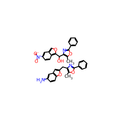 Cc1oc(-c2ccccc2)nc1C(O)c1occ2cc([N+](=O)[O-])ccc12.Cc1oc(-c2ccccc2)nc1Cc1cc2cc(N)ccc2o1